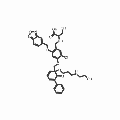 O=C(O)C(CO)NCc1cc(Cl)c(OCC2(OCCCNCCO)C=CC=C(c3ccccc3)C2Cl)cc1OCc1ccc2nonc2c1